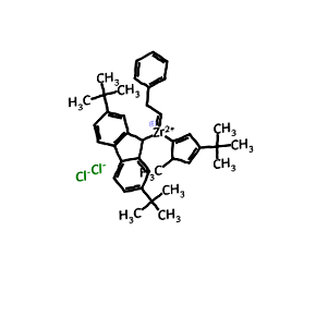 CC1C=C(C(C)(C)C)C=[C]1/[Zr+2](=[CH]/Cc1ccccc1)[CH]1c2cc(C(C)(C)C)ccc2-c2ccc(C(C)(C)C)cc21.[Cl-].[Cl-]